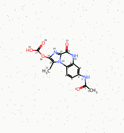 CC(=O)Nc1ccc2c(c1)[nH]c(=O)c1nc(OC(=O)O)c(C)n12